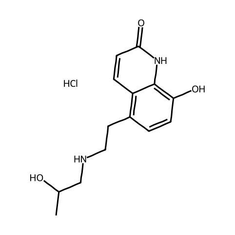 CC(O)CNCCc1ccc(O)c2[nH]c(=O)ccc12.Cl